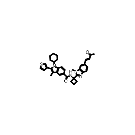 CC(=O)/C=C/c1ccc2nc(C3(NC(=O)c4ccc5c(c4)c(C)c(-c4ccsc4)n5C4CCCCC4)CCC3)n(C)c2c1